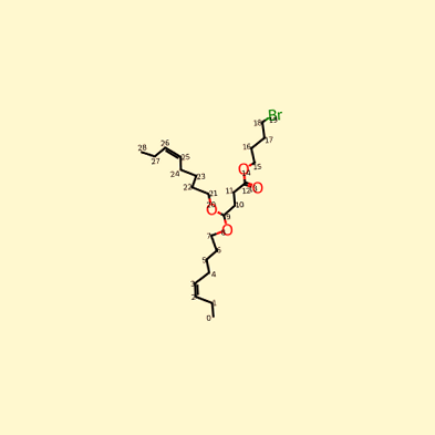 CC/C=C\CCCCOC(CCC(=O)OCCCCBr)OCCCC/C=C\CC